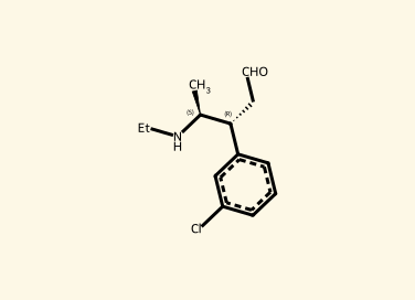 CCN[C@@H](C)[C@H](CC=O)c1cccc(Cl)c1